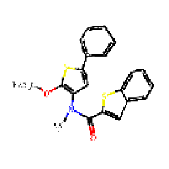 CN(C(=O)c1cc2ccccc2s1)c1cc(-c2ccccc2)sc1OC(=O)O